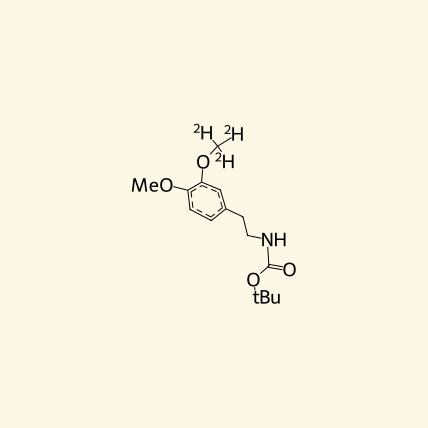 [2H]C([2H])([2H])Oc1cc(CCNC(=O)OC(C)(C)C)ccc1OC